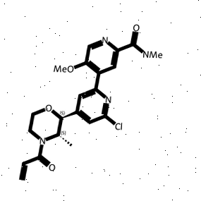 C=CC(=O)N1CCO[C@@H](c2cc(Cl)nc(-c3cc(C(=O)NC)ncc3OC)c2)[C@@H]1C